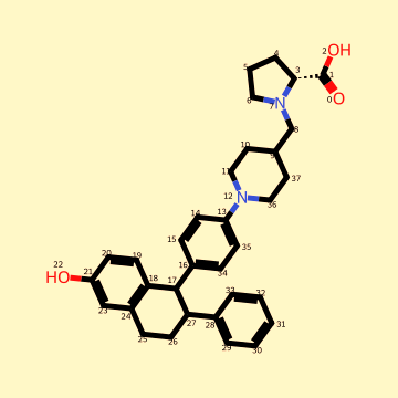 O=C(O)[C@H]1CCCN1CC1CCN(c2ccc(C3c4ccc(O)cc4CCC3c3ccccc3)cc2)CC1